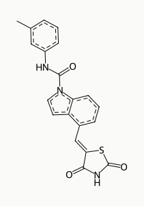 Cc1cccc(NC(=O)n2ccc3c(C=C4SC(=O)NC4=O)cccc32)c1